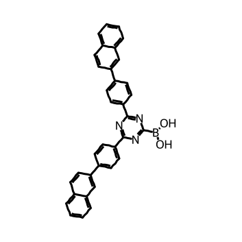 OB(O)c1nc(-c2ccc(-c3ccc4ccccc4c3)cc2)nc(-c2ccc(-c3ccc4ccccc4c3)cc2)n1